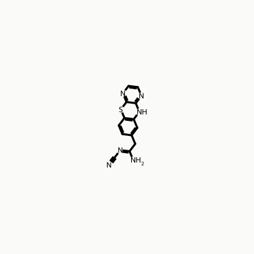 N#CN=C(N)Cc1ccc2c(c1)Nc1nccnc1S2